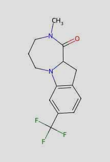 CN1CCCN2c3cc(C(F)(F)F)ccc3CC2C1=O